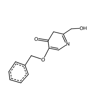 O=C1CC(CO)=NC=C1OCc1ccccc1